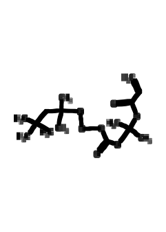 C=CC(=O)OC(C)(C)OC(=O)OOOC(C)(C)CC(C)(C)C